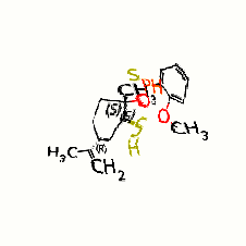 C=C(C)[C@@H]1CC[C@](C)(O[PH](=S)c2ccccc2OC)[C@@H](S)C1